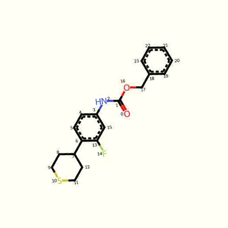 O=C(Nc1ccc(C2CCSCC2)c(F)c1)OCc1ccccc1